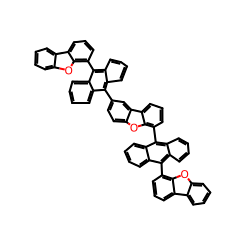 c1ccc2c(c1)oc1c(-c3c4ccccc4c(-c4ccc5oc6c(-c7c8ccccc8c(-c8cccc9c8oc8ccccc89)c8ccccc78)cccc6c5c4)c4ccccc34)cccc12